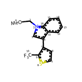 COCn1cc(-c2ccsc2C(F)(F)F)c2ccccc21